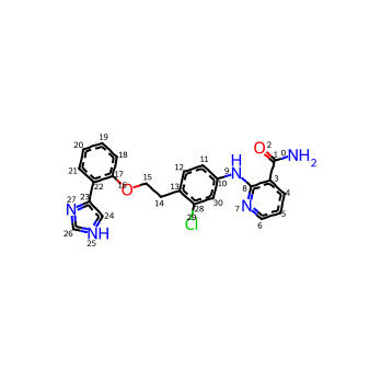 NC(=O)c1cccnc1Nc1ccc(CCOc2ccccc2-c2c[nH]cn2)c(Cl)c1